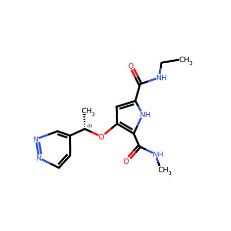 CCNC(=O)c1cc(O[C@@H](C)c2ccnnc2)c(C(=O)NC)[nH]1